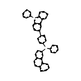 c1ccc(N(c2ccc(-c3ccc4c(c3)c3ccccc3n4-c3ccccc3)cc2)c2ccc3ccc4ccccc4c3c2)cc1